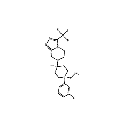 C[C@]1(N2CCn3c(nnc3C(F)(F)F)C2)CC[C@](CN)(c2cccc(Cl)c2)CC1